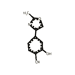 Cc1nc(-c2ccc(C#N)c(O)c2)co1